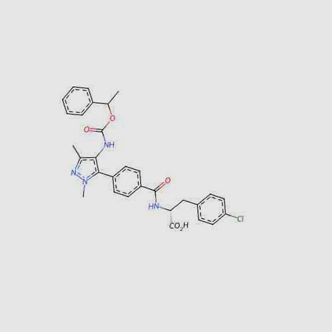 Cc1nn(C)c(-c2ccc(C(=O)N[C@H](Cc3ccc(Cl)cc3)C(=O)O)cc2)c1NC(=O)OC(C)c1ccccc1